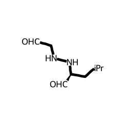 CC(C)C[C@@H](C=O)NNCC=O